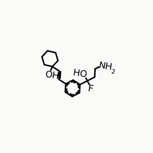 NCCC(O)(F)c1cccc(C=CC2(O)CCCCC2)c1